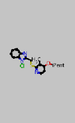 CCCC(C)Oc1ccnc(SCc2nc3ccccc3n2Cl)c1C